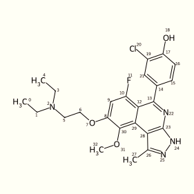 CCN(CC)CCOc1cc(F)c2c(-c3ccc(O)c(Cl)c3)nc3[nH]nc(C)c3c2c1OC